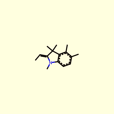 CC=C1N(C)c2ccc(C)c(C)c2C1(C)C